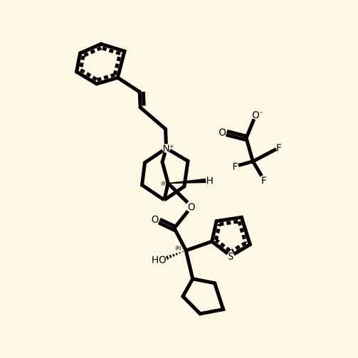 O=C(O[C@H]1C[N+]2(CC=Cc3ccccc3)CCC1CC2)[C@@](O)(c1cccs1)C1CCCC1.O=C([O-])C(F)(F)F